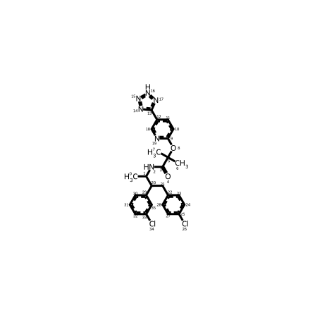 CC(NC(=O)C(C)(C)Oc1ccc(-c2nn[nH]n2)cn1)C(Cc1ccc(Cl)cc1)c1cccc(Cl)c1